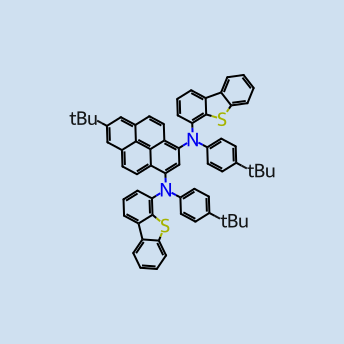 CC(C)(C)c1ccc(N(c2cc(N(c3ccc(C(C)(C)C)cc3)c3cccc4c3sc3ccccc34)c3ccc4cc(C(C)(C)C)cc5ccc2c3c54)c2cccc3c2sc2ccccc23)cc1